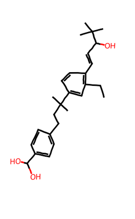 CCc1cc(C(C)(C)CCc2ccc(C(O)O)cc2)ccc1C=CC(O)C(C)(C)C